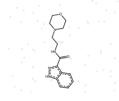 O=C(NCCN1CCOCC1)c1n[nH]c2ccccc12